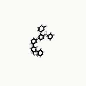 CC1C=C(c2cc(-c3cccc(-c4ccc(N)c(-c5ccccc5)c4)c3)ccc2Nc2ccccc2)C=CC1